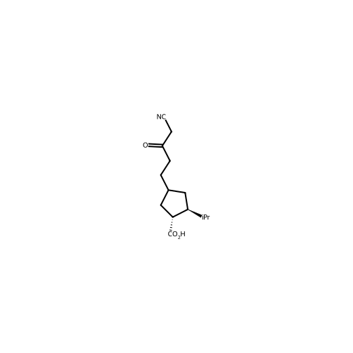 CC(C)[C@@H]1CC(CCC(=O)CC#N)C[C@H]1C(=O)O